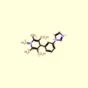 CC1=C(C(=O)O)C(c2cccc(-n3ccnc3)c2)C(C(=O)O)=C(C)N1C